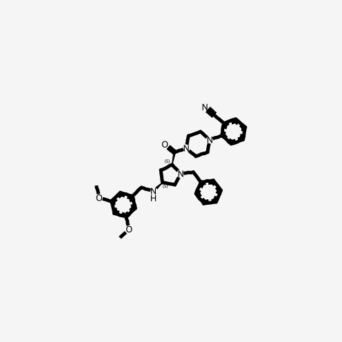 COc1cc(CN[C@H]2C[C@@H](C(=O)N3CCN(c4ccccc4C#N)CC3)N(Cc3ccccc3)C2)cc(OC)c1